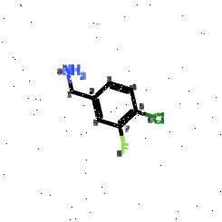 NCc1c[c]c(Cl)c(F)c1